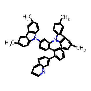 Cc1ccc2c(c1)c1cc(C)ccc1n2-c1ccc(-c2ccccc2-c2ccc3cccnc3c2)c(-n2c3ccc(C)cc3c3cc(C)ccc32)c1